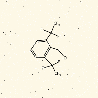 [O]Cc1c(C(F)(F)C(F)(F)F)cccc1C(F)(F)C(F)(F)F